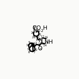 O=C(CC12CC3CC(CC(C3)C1)C2)C1CNCCN1CC1CCN(C(=O)O)CC1